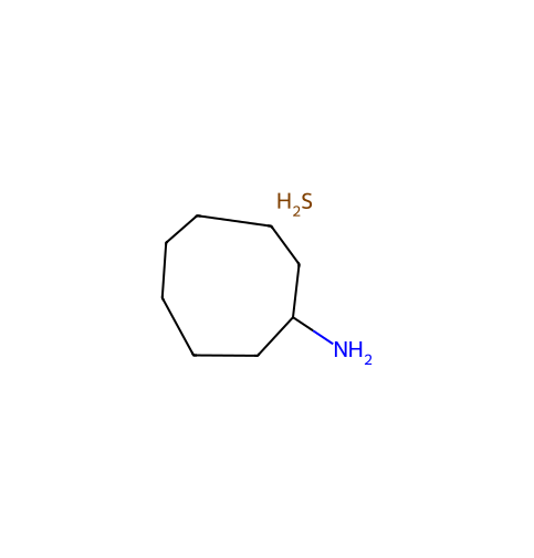 NC1CCCCCCC1.S